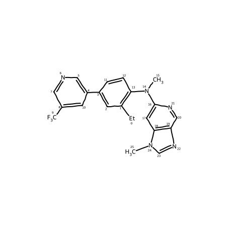 CCc1cc(-c2cncc(C(F)(F)F)c2)ccc1N(C)c1cc2c(cn1)ncn2C